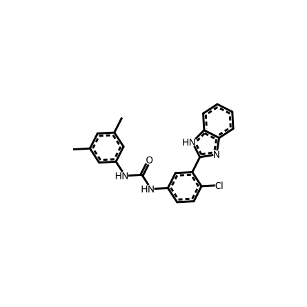 Cc1cc(C)cc(NC(=O)Nc2ccc(Cl)c(-c3nc4ccccc4[nH]3)c2)c1